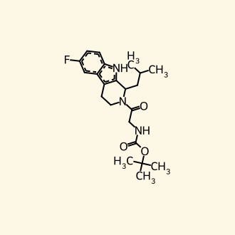 CC(C)CC1c2[nH]c3ccc(F)cc3c2CCN1C(=O)CNC(=O)OC(C)(C)C